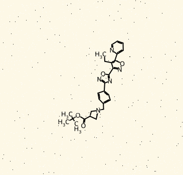 CCc1c(-c2nc(-c3ccc(CN4CC(C(=O)OC(C)(C)C)C4)cc3)no2)noc1-c1ccccn1